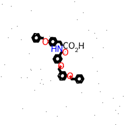 O=C(N[C@@H](Cc1ccc(OCc2ccccc2)cc1)C(=O)O)c1cccc(OCc2cccc(OCc3ccccc3)c2)c1